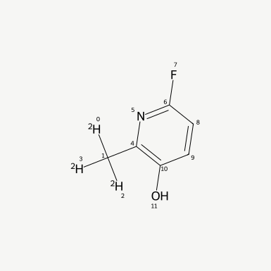 [2H]C([2H])([2H])c1nc(F)ccc1O